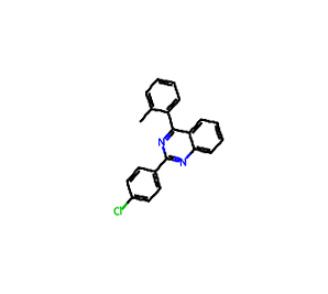 Cc1ccccc1-c1nc(-c2ccc(Cl)cc2)nc2ccccc12